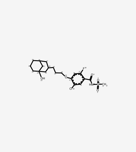 CS(=O)(=O)NC(=O)c1cc(Cl)c(OCCCC2CC3CCCC(O)(C2)C3)cc1F